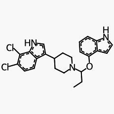 CCC(Oc1cccc2[nH]ccc12)N1CCC(c2c[nH]c3c(Cl)c(Cl)ccc23)CC1